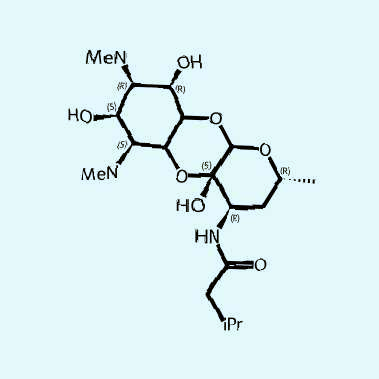 CN[C@@H]1[C@H](O)[C@H](NC)C2O[C@]3(O)C(OC2[C@@H]1O)O[C@H](C)C[C@H]3NC(=O)CC(C)C